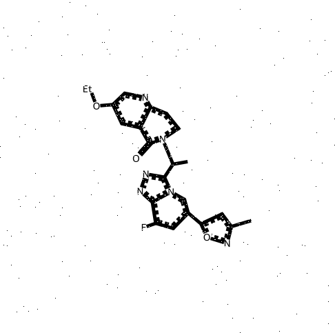 CCOc1cnc2ccn(C(C)c3nnc4c(F)cc(-c5cc(C)no5)cn34)c(=O)c2c1